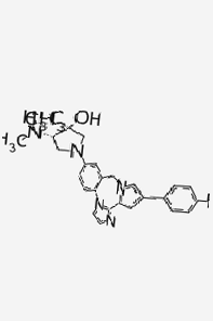 CN(C)[C@H]1CN(c2ccc3c(c2)Cn2cc(-c4ccc(F)cc4)cc2-c2nccn2-3)C[C@]1(C)O